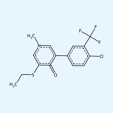 CCSc1cn(C)cc(-c2ccc(Cl)c(C(F)(F)F)c2)c1=O